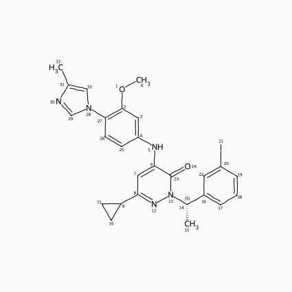 COc1cc(Nc2cc(C3CC3)nn([C@@H](C)c3cccc(I)c3)c2=O)ccc1-n1cnc(C)c1